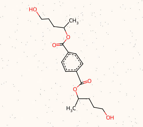 CC(CCCO)OC(=O)c1ccc(C(=O)OC(C)CCCO)cc1